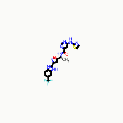 C[C@H](NC(=O)c1cc(Nc2nccs2)ncn1)c1cc(-c2nc3ccc(C(F)(F)F)cc3[nH]2)no1